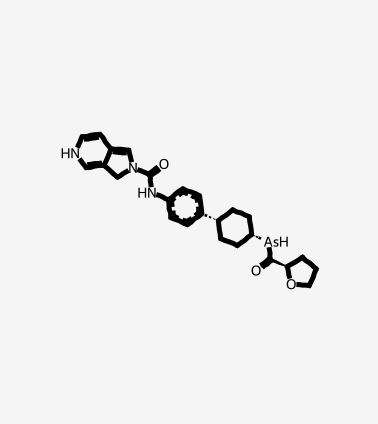 O=C([AsH][C@H]1CC[C@@H](c2ccc(NC(=O)N3C=C4C=CNC=C4C3)cc2)CC1)[C@H]1CCCO1